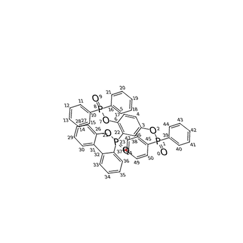 O=P(Oc1ccc(OP(=O)(c2ccccc2)c2ccccc2)c(P2(=O)Oc3ccccc3-c3ccccc32)c1)(c1ccccc1)c1ccccc1